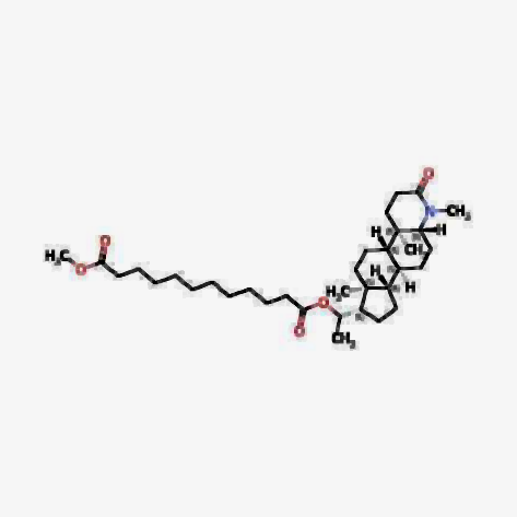 COC(=O)CCCCCCCCCCC(=O)OC(C)[C@H]1CC[C@H]2[C@@H]3CC[C@H]4N(C)C(=O)CC[C@]4(C)[C@H]3CC[C@]12C